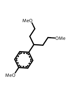 COCCC(CCOC)c1ccc(OC)cc1